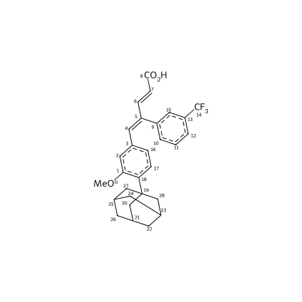 COc1cc(C=C(C=CC(=O)O)c2cccc(C(F)(F)F)c2)ccc1C12CC3CC(CC(C3)C1)C2